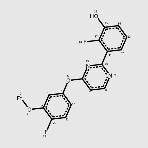 CCOc1cc(Oc2ccnc(-c3cccc(O)c3F)n2)ccc1F